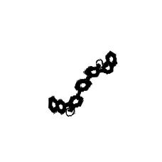 c1ccc2cc3c(cc2c1)oc1ccc(-c2ccc(-c4ccc5oc6c7ccccc7ccc6c5c4)cc2)cc13